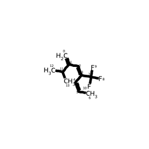 C=C(/C=C(\C=C/C)C(F)(F)F)C(C)C